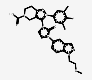 COCCn1ncc2cc(-n3ccn(-c4c5c(nn4-c4cc(C)c(F)c(C)c4)CCN(C(=O)O)C5)c3=O)ccc21